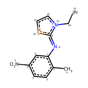 Cc1ccc([N+](=O)[O-])cc1N=c1sccn1CC(C)C